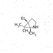 CC[C@@]12CCN[C@]1(C)C2(C)C